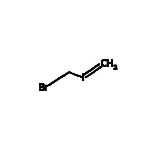 C=ICBr